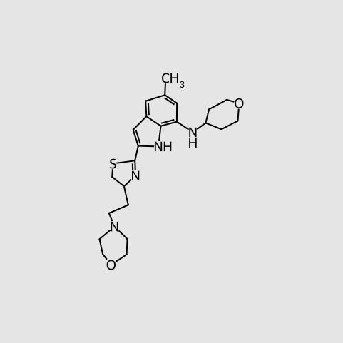 Cc1cc(NC2CCOCC2)c2[nH]c(C3=NC(CCN4CCOCC4)CS3)cc2c1